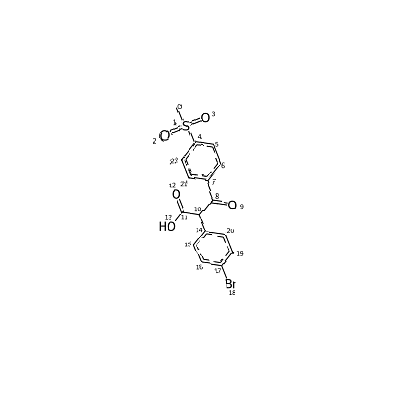 CS(=O)(=O)c1ccc(C(=O)C(C(=O)O)c2ccc(Br)cc2)cc1